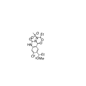 CCC(=O)N(n1c(=O)[nH]c2cc(C(F)(F)F)c(C(CC)OC)cc2c1=O)S(C)(=O)=O